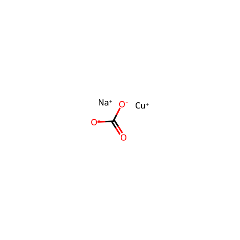 O=C([O-])[O-].[Cu+].[Na+]